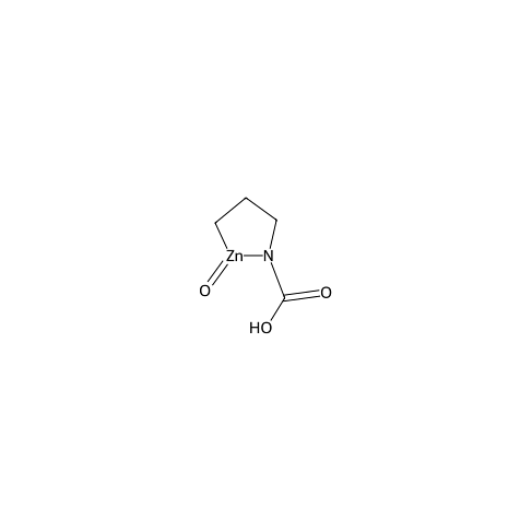 O=C(O)[N]1CC[CH2][Zn]1=[O]